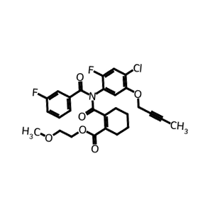 CC#CCOc1cc(N(C(=O)C2=C(C(=O)OCCOC)CCCC2)C(=O)c2cccc(F)c2)c(F)cc1Cl